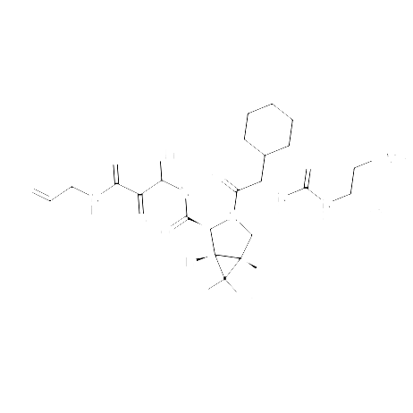 C=CCNC(=O)C(=O)C(CCC)NC(=O)[C@@H]1[C@@H]2[C@H](CN1C(=O)[C@@H](NC(=O)N[C@H](COC)C(C)(C)C)C1CCCCC1)C2(C)C